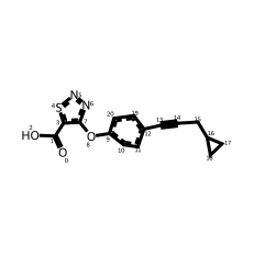 O=C(O)c1snnc1Oc1ccc(C#CCC2CC2)cc1